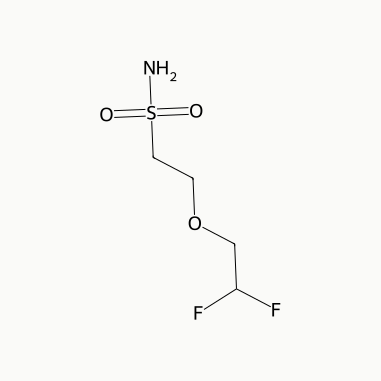 NS(=O)(=O)CCOCC(F)F